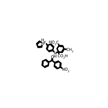 CC1=CC(Nc2ccc(F)cc2)(C(=O)O)CC(C(=O)O)=C1.O=C(c1ccccc1)c1ccc([N+](=O)[O-])cc1.c1cc[nH]c1